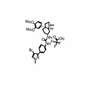 COc1ccc([C@@]23CC[C@@H](NC(=O)Nc4ccc(-c5nn(C)cc5Br)cc4)C[C@@H]2N(C)CC3)cc1OC.O=C(O)C(F)(F)F